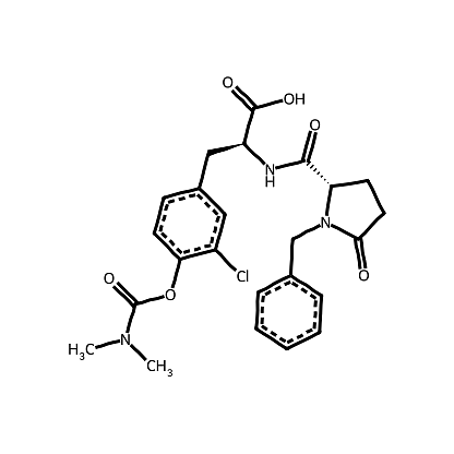 CN(C)C(=O)Oc1ccc(C[C@H](NC(=O)[C@@H]2CCC(=O)N2Cc2ccccc2)C(=O)O)cc1Cl